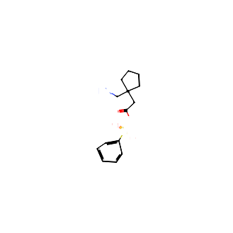 NCC1(CC(=O)OS(=O)(=O)c2ccccc2)CCCC1